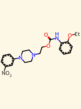 CCOc1ccccc1NC(=O)OCCN1CCN(c2cccc([N+](=O)[O-])c2)CC1